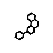 [c]1ccc(-c2ccc3ccc4ccccc4c3c2)cc1